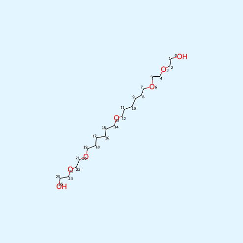 OCCOCCOCCCCCCOCCCCCCOCCOCCO